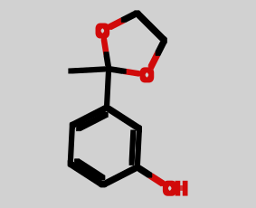 CC1(c2cccc(O)c2)OCCO1